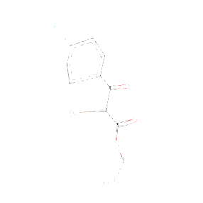 CCOC(=O)C(Br)C(=O)c1ccc(F)cc1